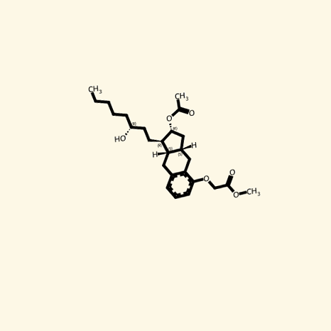 CCCCC[C@@H](O)CC[C@@H]1[C@H]2Cc3cccc(OCC(=O)OC)c3C[C@H]2C[C@H]1OC(C)=O